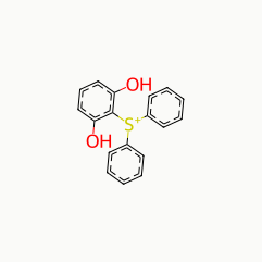 Oc1cccc(O)c1[S+](c1ccccc1)c1ccccc1